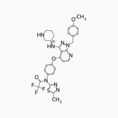 COc1ccc(Cn2nc(N[C@@H]3CCCNC3)c3c(Oc4ccc(N(C(=O)C(F)(F)F)c5nnc(C)s5)cc4)ccnc32)cc1